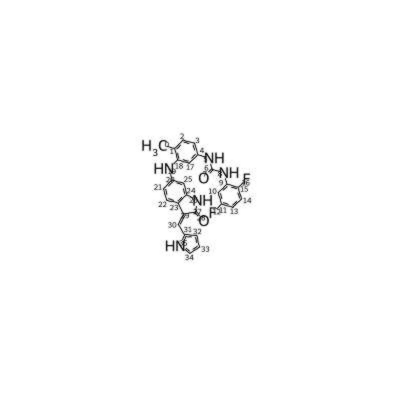 Cc1ccc(NC(=O)Nc2cc(F)ccc2F)cc1Nc1ccc2c(c1)NC(=O)C2=Cc1ccc[nH]1